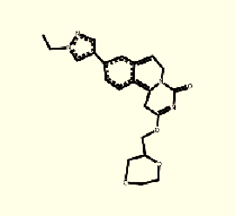 CCn1cc(-c2ccc3c(c2)=CCN2C(=O)N=C(OCC4COCCO4)CC=32)cn1